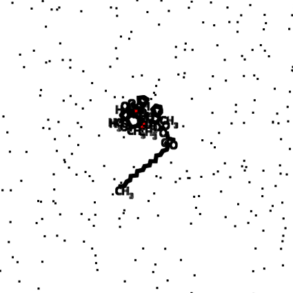 CCCCCCCCCCCCCCCCCC1OCC(COC(=O)O[C@@H](C(=O)O[C@H]2C[C@@]3(O)[C@@H](OC(=O)c4ccccc4)[C@@H]4[C@]5(OC(C)=O)CO[C@@H]5C[C@H](O)[C@@]4(C)C(=O)[C@H](C)C(=C2C)C3(C)C)[C@@H](C)c2ccccc2)O1